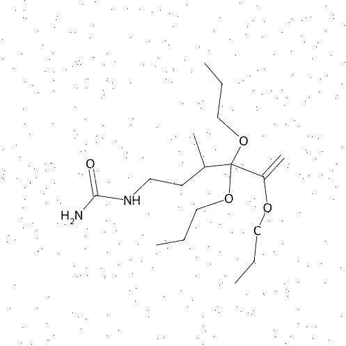 C=C(OCCC)C(OCCC)(OCCC)C(C)CCNC(N)=O